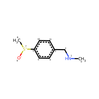 CNCc1ccc([S+](C)[O-])cc1